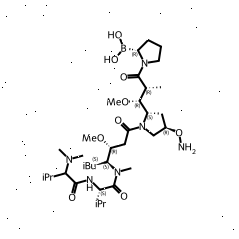 CC[C@H](C)[C@@H]([C@@H](CC(=O)N1C[C@H](ON)C[C@H]1[C@H](OC)[C@@H](C)C(=O)N1CCC[C@H]1B(O)O)OC)N(C)C(=O)[C@@H](NC(=O)C(C(C)C)N(C)C)C(C)C